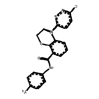 O=C(Nc1ccc(C(F)(F)F)cc1)c1cccc2c1OCCN2c1ccc(Cl)nn1